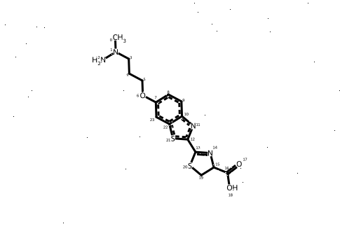 CN(N)CCCOc1ccc2nc(C3=NC(C(=O)O)CS3)sc2c1